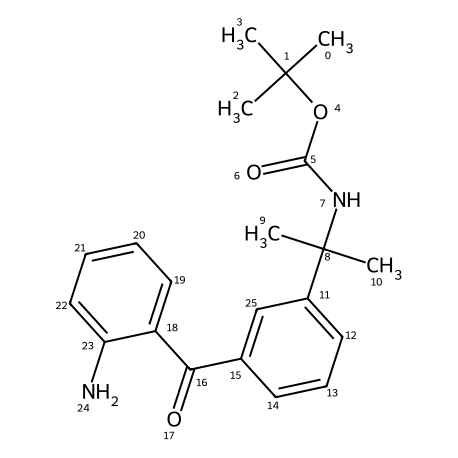 CC(C)(C)OC(=O)NC(C)(C)c1cccc(C(=O)c2ccccc2N)c1